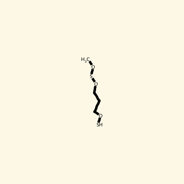 COSOCCCOS